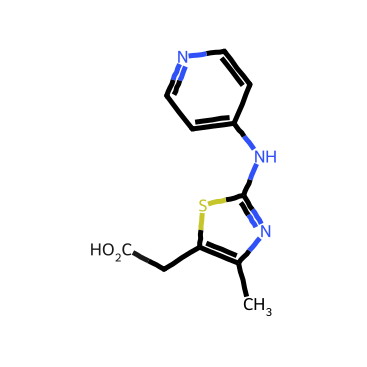 Cc1nc(Nc2ccncc2)sc1CC(=O)O